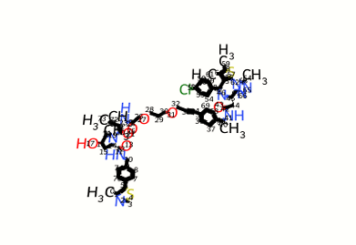 Cc1ncsc1-c1ccc(CNC(=O)[C@@H]2C[C@@H](O)CN2C(=O)[C@@H](NC(=O)COCCCOCC#Cc2ccc([C@@H](C)NC(=O)C[C@@H]3N=C(c4ccc(Cl)cc4)c4c(sc(C)c4C)-n4c(C)nnc43)cc2)C(C)(C)C)cc1